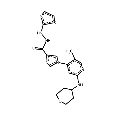 Cc1cnc(NC2CCOCC2)nc1-n1cnc(C(=O)NNc2nccs2)c1